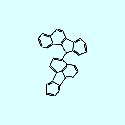 c1ccc2c(c1)-c1cccc3c(-n4c5ccccc5c5ccc6ccccc6c54)ccc-2c13